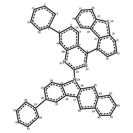 c1ccc(-c2ccc3c(-c4cccc5sc6ccccc6c45)nc(-n4c5ccc(-c6ccccc6)cc5c5cc6ccccc6cc54)nc3c2)cc1